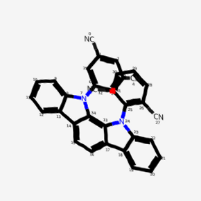 N#Cc1cc(C#N)cc(-n2c3ccccc3c3ccc4c5ccccc5n(-c5c(C#N)cccc5C#N)c4c32)c1